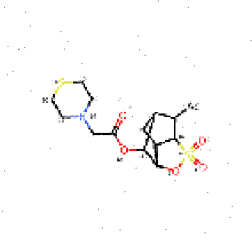 CC(=O)C1C2CC3C(OS(=O)(=O)C31)C2OC(=O)CN1CCSCC1